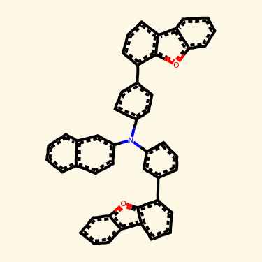 c1cc(-c2cccc3c2oc2ccccc23)cc(N(c2ccc(-c3cccc4c3oc3ccccc34)cc2)c2ccc3ccccc3c2)c1